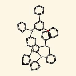 c1ccc(-c2cc(-c3ccccc3)cc(N(c3ccccc3)c3ccc4c(c3)c3c(n4-c4ccccc4)N(c4ccccc4)c4ccccc4CC3c3ccccc3)c2)cc1